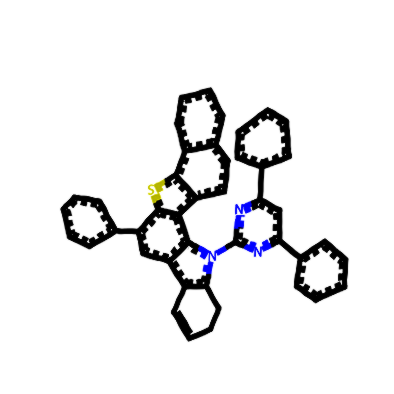 C1=Cc2c(n(-c3nc(-c4ccccc4)cc(-c4ccccc4)n3)c3c2cc(-c2ccccc2)c2sc4c5ccccc5ccc4c23)CC1